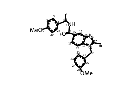 COc1ccc(C(C)NC(=O)c2ccc3c(c2)nc(C)n3Cc2cccc(OC)c2)cc1